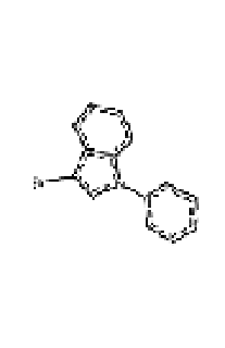 Brc1cn(-c2ccccc2)c2ccccc12